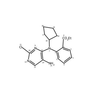 CCOC(=O)c1ccccc1N(c1nc(Cl)ncc1N)C1CCCC1